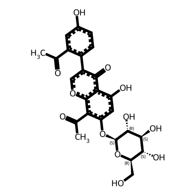 CC(=O)c1cc(O)ccc1-c1coc2c(C(C)=O)c(O[C@@H]3O[C@H](CO)[C@@H](O)[C@H](O)[C@H]3O)cc(O)c2c1=O